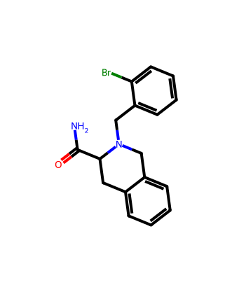 NC(=O)C1Cc2ccccc2CN1Cc1ccccc1Br